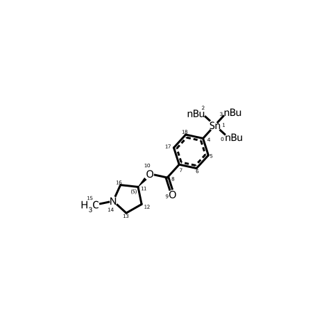 CCC[CH2][Sn]([CH2]CCC)([CH2]CCC)[c]1ccc(C(=O)O[C@H]2CCN(C)C2)cc1